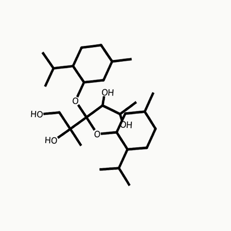 CC1CCC(C(C)C)C(OC(OC2CC(C)CCC2C(C)C)(C(O)C(C)O)C(C)(O)CO)C1